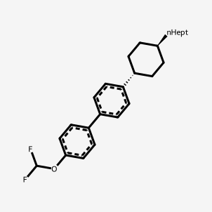 CCCCCCC[C@H]1CC[C@H](c2ccc(-c3ccc(OC(F)F)cc3)cc2)CC1